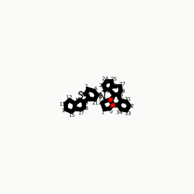 c1ccc(N(c2ccc3sc4c5ccccc5ccc4c3c2)c2cccc3ccc4c5ccccc5ccc4c23)cc1